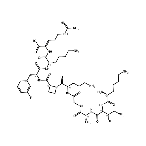 C[C@H](NC(=O)[C@@H](NC(=O)[C@@H](N)CCCCN)[C@@H](O)CN)C(=O)NCC(=O)N[C@H](CCCN)C(=O)N1CC[C@H]1C(=O)N[C@@H](Cc1cccc(F)c1)C(=O)N[C@@H](CCCCN)C(=O)N/C(=C\CCNC(=N)N)C(=O)O